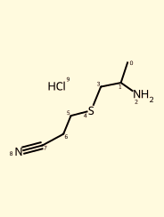 CC(N)CSCCC#N.Cl